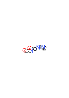 Cc1cc(N2CC[C@H](N3CCC[C@H]3C)C2)ccc1N1CCC2(CCOCC2)C1=O